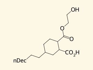 CCCCCCCCCCCCC1CCC(C(=O)OCCO)C(C(=O)O)C1